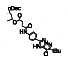 CCCCCCCCCCCCC(C)OC(=O)CCC(=O)Nc1ccc(-c2nn3nc(C(C)(C)C)c(Cl)c3[nH]2)cc1